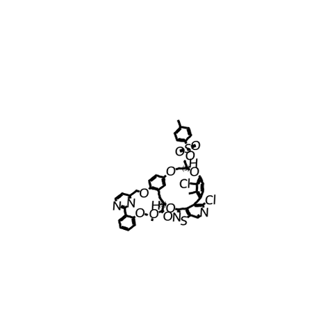 COC(=O)[C@@H]1Cc2cc(ccc2OCc2ccnc(-c3ccccc3OC)n2)OC[C@@H](COS(=O)(=O)c2ccc(C)cc2)Oc2ccc(c(C)c2Cl)-c2c(Cl)ncc3snc(c23)O1